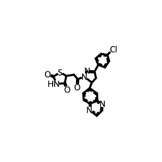 O=C1NC(=O)C(CC(=O)N2N=C(c3ccc(Cl)cc3)CC2c2ccc3nccnc3c2)S1